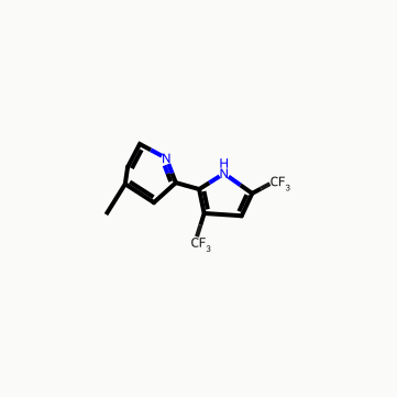 Cc1ccnc(-c2[nH]c(C(F)(F)F)cc2C(F)(F)F)c1